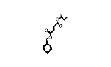 CCC(C)OC(=O)CCC(=O)OCc1ccccc1